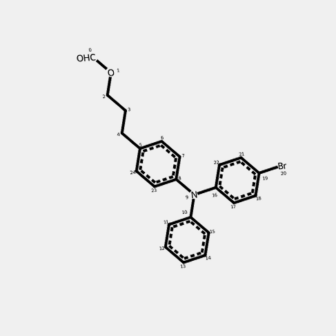 O=COCCCc1ccc(N(c2ccccc2)c2ccc(Br)cc2)cc1